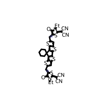 CCn1c(=C(C#N)C#N)s/c(=C\c2cc3sc4c(c3s2)C2(CCCCC2)c2c-4sc3cc(/C=c4\sc(=C(C#N)C#N)n(CC)c4=O)sc23)c1=O